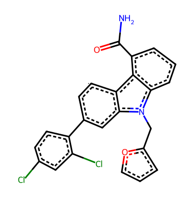 NC(=O)c1cccc2c1c1[c]cc(-c3ccc(Cl)cc3Cl)cc1n2Cc1ccco1